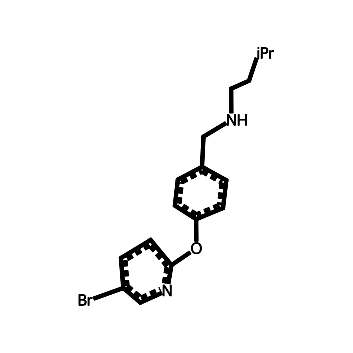 CC(C)CCNCc1ccc(Oc2ccc(Br)cn2)cc1